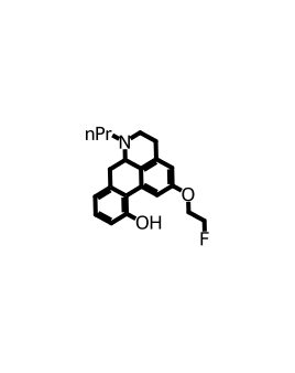 CCCN1CCc2cc(OCCF)cc3c2C1Cc1cccc(O)c1-3